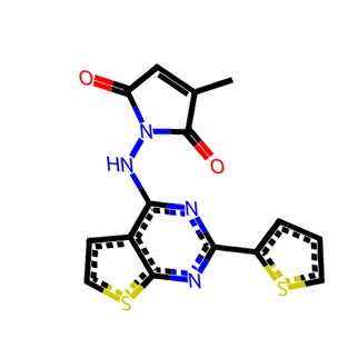 CC1=CC(=O)N(Nc2nc(-c3cccs3)nc3sccc23)C1=O